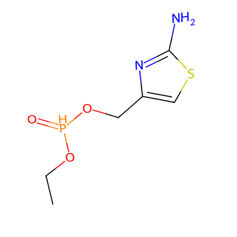 CCO[PH](=O)OCc1csc(N)n1